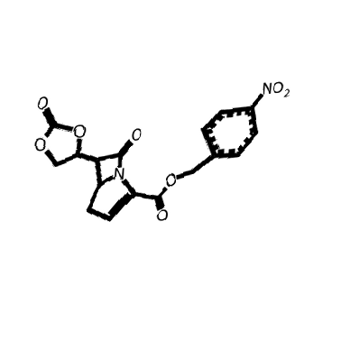 O=C1OCC(C2C(=O)N3C(C(=O)OCc4ccc([N+](=O)[O-])cc4)=CCC23)O1